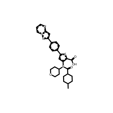 CC1CCC(C(=O)N(c2cc(-c3ccc(-c4cc5ncccn5n4)cc3)sc2C(=O)O)C2CCOCC2)CC1